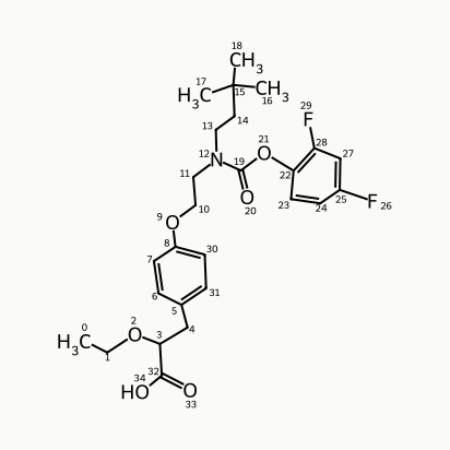 CCOC(Cc1ccc(OCCN(CCC(C)(C)C)C(=O)Oc2ccc(F)cc2F)cc1)C(=O)O